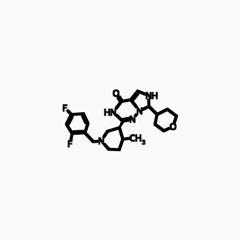 CC1CCN(Cc2ccc(F)cc2F)C[C@H]1C1=NN2C(=CNC2C2CCOCC2)C(=O)N1